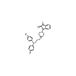 Cn1c(=O)n(C2CCN(CCCC(c3ccc(F)cc3)c3ccc(F)cc3)CC2)c2ccccc21